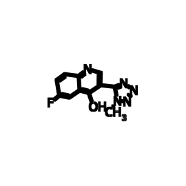 Cn1nnnc1-c1cnc2ccc(F)cc2c1O